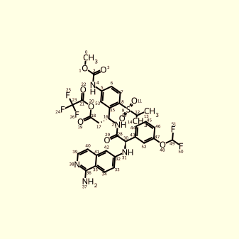 COC(=O)Nc1ccc(S(=O)(=O)C(C)C)c([C@@H](CC(=O)OC(=O)C(F)(F)F)NC(=O)[C@H](Nc2ccc3c(N)nccc3c2)c2cccc(OC(F)F)c2)c1